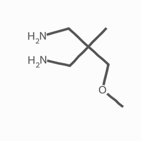 COCC(C)(CN)CN